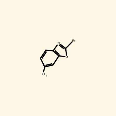 CCc1nc2ccc(C(F)(F)F)cc2o1